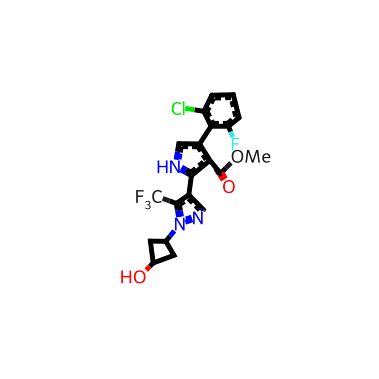 COC(=O)c1c(-c2c(F)cccc2Cl)c[nH]c1-c1cnn(C2CC(O)C2)c1C(F)(F)F